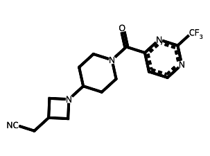 N#CCC1CN(C2CCN(C(=O)c3ccnc(C(F)(F)F)n3)CC2)C1